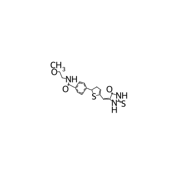 COCCNC(=O)c1ccc(C2CC=C(/C=C3/NC(=S)NC3=O)S2)cc1